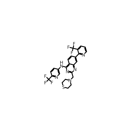 FC(F)(F)c1ccc(Nc2nc(CN3CCSCC3)nc3cc(-c4ncccc4C(F)(F)F)ccc23)cn1